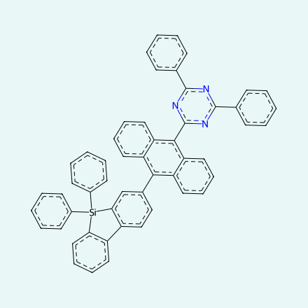 c1ccc(-c2nc(-c3ccccc3)nc(-c3c4ccccc4c(-c4ccc5c(c4)[Si](c4ccccc4)(c4ccccc4)c4ccccc4-5)c4ccccc34)n2)cc1